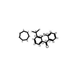 C1CCCCCC1.CC(C)c1cccc2c(=O)c3ccccc3sc12